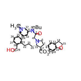 CCCCN(C(=O)CN1C[C@H](c2ccc3c(c2)CCO3)[C@@H](C(=O)O)[C@@H]1CCCc1ccccc1CO)c1ccc[n+](C)c1